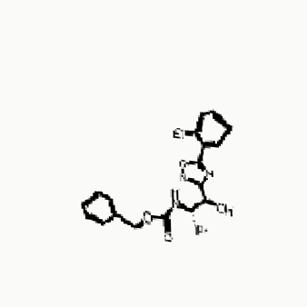 CCc1ccccc1-c1nc(C(O)[C@@H](NC(=O)OCc2ccccc2)C(C)C)no1